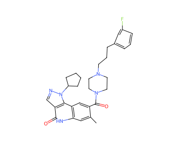 Cc1cc2[nH]c(=O)c3cnn(C4CCCC4)c3c2cc1C(=O)N1CCN(CCCc2cccc(F)c2)CC1